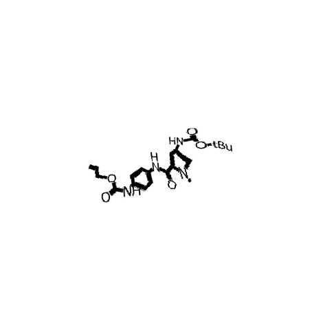 C=CCOC(=O)Nc1ccc(NC(=O)c2cc(NC(=O)OC(C)(C)C)cn2C)cc1